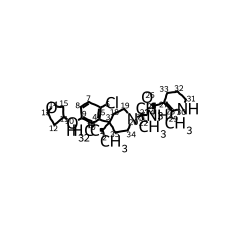 C=C(C)C1(c2c(Cl)ccc(OC3CCOC3)c2C)CCN(C(C)(C)NC(=O)C2=C(C)NCCC2)CC1